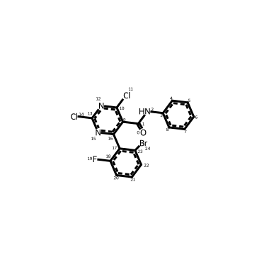 O=C(Nc1ccccc1)c1c(Cl)nc(Cl)nc1-c1c(F)cccc1Br